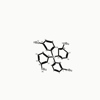 CCCCc1cccc([B-](c2cccc(CCCC)c2)(c2cccc(CCCC)c2)c2cccc(CCCC)c2)c1